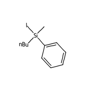 CCCC[Si](C)(I)c1ccccc1